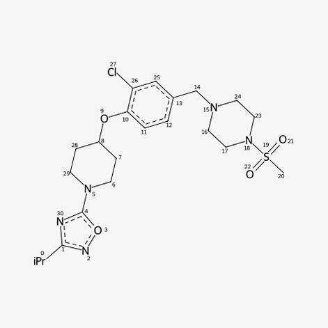 CC(C)c1noc(N2CCC(Oc3ccc(CN4CCN(S(C)(=O)=O)CC4)cc3Cl)CC2)n1